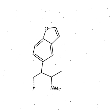 CNC(C)C(CF)c1ccc2occc2c1